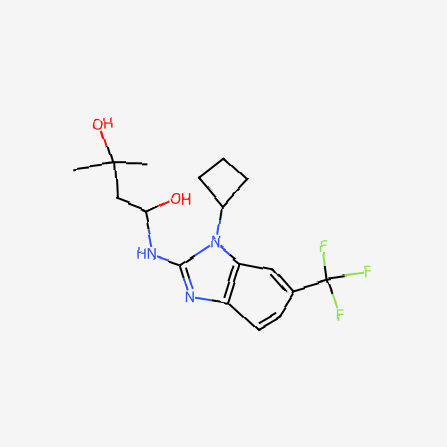 CC(C)(O)CC(O)Nc1nc2ccc(C(F)(F)F)cc2n1C1CCC1